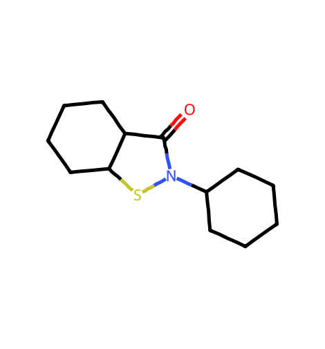 O=C1C2CCCCC2SN1C1CCCCC1